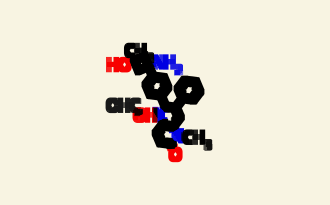 Cn1c(=O)ccc2nc(-c3ccc([C@]4(N)C[C@](C)(O)C4)cc3)c(-c3ccccc3)cc21.O=CO